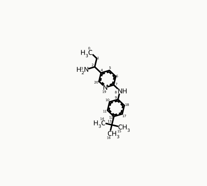 CCC(N)c1ccc(Nc2ccc(C(C)(C)C)cc2)nc1